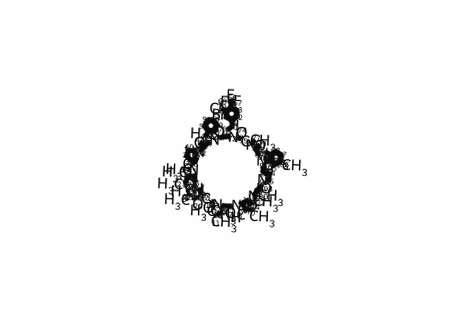 CC[C@H](C)[C@@H]1NC(=O)[C@H](CC(C)C)N(C)C(=O)C[C@@H](C(=O)N(C)C)N(C)C(=O)[C@H]([C@@H](C)CC)N(C)C(=O)C2(CCCC2)NC(=O)[C@H](Cc2ccc(Br)cc2)N(C)C(=O)[C@H](CCc2ccc(C(F)(F)F)c(Cl)c2)NC(=O)CN(C)C(=O)[C@H](Cc2ccc(C)cc2)N(C)C(=O)[C@@H]2CCN2C(=O)[C@H](C)N(C)C1=O